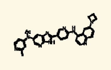 CC(=O)N(c1ccnc(C)c1)c1cnc2[nH]c(-c3ccc(Nc4ccnc5ccc(N6CCC6)cc45)nc3)nc2c1